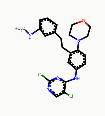 O=C(O)Nc1cccc(CCc2cc(Nc3nc(Cl)ncc3Cl)ccc2N2CCOCC2)c1